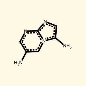 Nc1cnc2ncc(N)n2c1